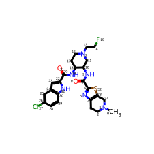 CN1CCc2nc(C(=O)NC3CN(CCF)CCC3NC(=O)c3cc4cc(Cl)ccc4[nH]3)sc2C1